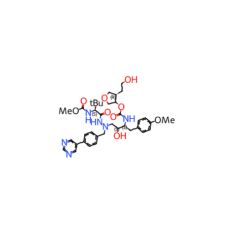 COC(=O)N[C@H](C(=O)NN(Cc1ccc(-c2cncnc2)cc1)C[C@H](O)[C@H](Cc1ccc(OC)cc1)NC(=O)OC1COC[C@H]1CCO)C(C)(C)C